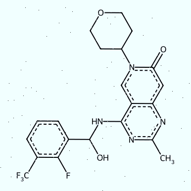 Cc1nc(NC(O)c2cccc(C(F)(F)F)c2F)c2cn(C3CCOCC3)c(=O)cc2n1